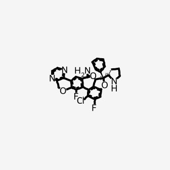 NC(=O)c1cc2c(c(F)c1-c1c(Cl)c(F)cc3c1C[C@](c1ccccc1)([C@@H]1CCCN1)O3)OCc1nccnc1-2